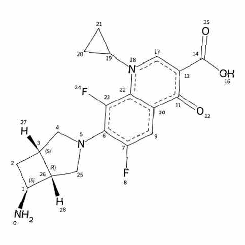 N[C@H]1C[C@@H]2CN(c3c(F)cc4c(=O)c(C(=O)O)cn(C5CC5)c4c3F)C[C@@H]21